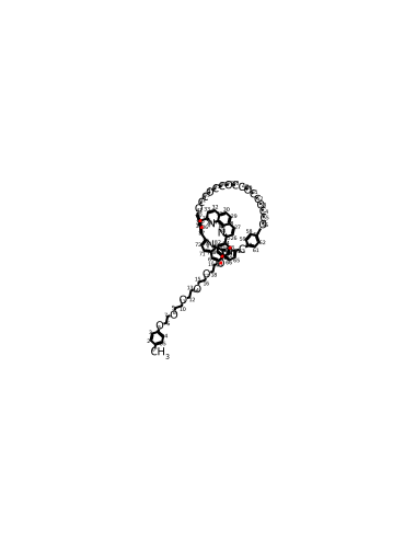 Cc1ccc(OCCOCCOCCOCCOCCOc2ccc(-c3ccc4ccc5ccc(-c6cc7ccc6OCCOCCOCCOCCOCCOc6ccc(cc6)Cc6ccc8ccc9ccc-7nc9c8n6)nc5c4n3)cc2)cc1